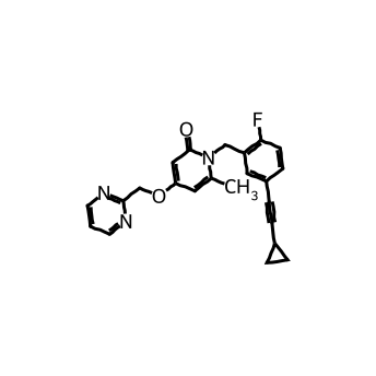 Cc1cc(OCc2ncccn2)cc(=O)n1Cc1cc(C#CC2CC2)ccc1F